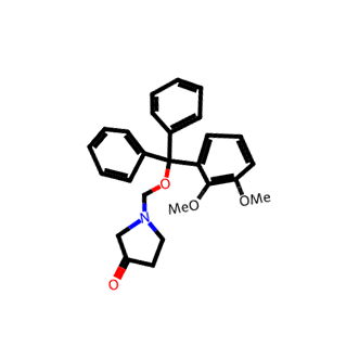 COc1cccc(C(OCN2CCC(=O)C2)(c2ccccc2)c2ccccc2)c1OC